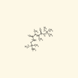 C[C@@H](C(=O)NCC(C)(C)N)N(C)C(=O)OC(C)(C)C